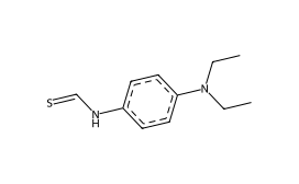 CCN(CC)c1ccc(NC=S)cc1